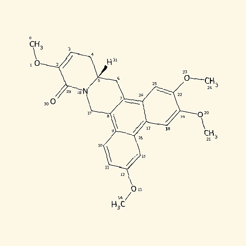 COC1=CC[C@@H]2Cc3c(c4ccc(OC)cc4c4cc(OC)c(OC)cc34)CN2C1=O